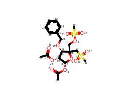 CC(=O)O[C@H]1O[C@@](COS(C)(=O)=O)(CS(C)(=O)=O)[C@@H](OCc2ccccc2)[C@H]1OC(C)=O